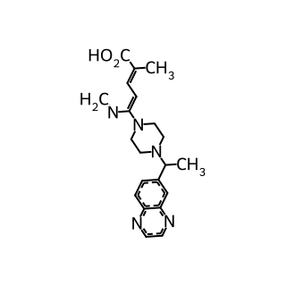 C=N/C(=C\C=C(/C)C(=O)O)N1CCN(C(C)c2ccc3nccnc3c2)CC1